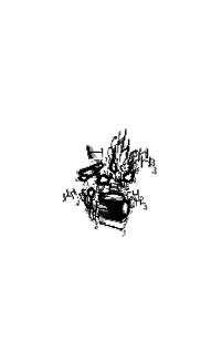 CC(C)(C)c1ccc(N2c3cc(-c4c5c(cc6c4CC6)CC5)cc4c3B(c3cc5c(cc3N4c3ccc4c(c3)C(C)(C)CCC4(C)C)C(C)(C)CCC5(C)C)c3sc4ccc(C(C)(C)C)cc4c32)cc1